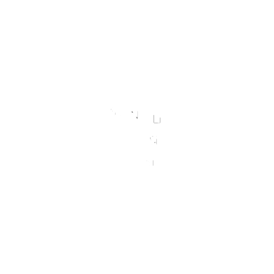 [Li].[N].[Si].[Si].[Si]